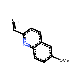 C=Cc1ccc2cc(OC)ccc2n1